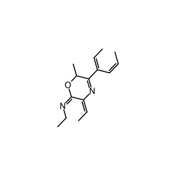 C/C=C\C(=C/C)C1=NC(=C/C)/C(=N\CC)OC1C